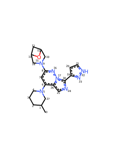 CC1CCCN(c2cc(N3CC4CC(C3)O4)nn3c(-c4cc[nH]n4)ncc23)C1